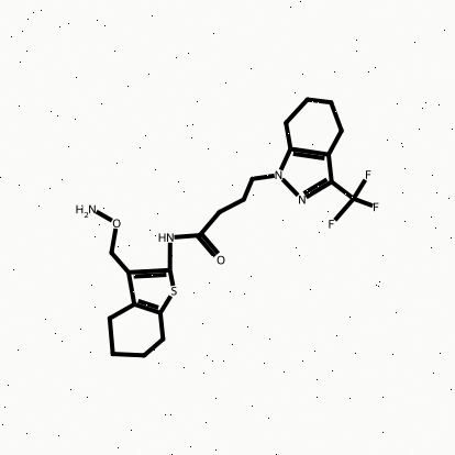 NOCc1c(NC(=O)CCCn2nc(C(F)(F)F)c3c2CCCC3)sc2c1CCCC2